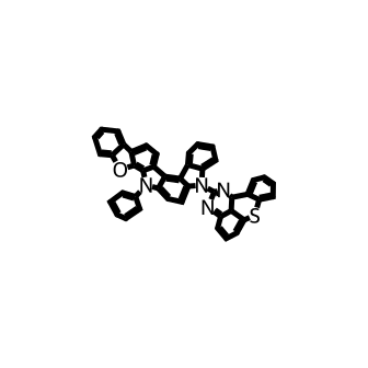 C1=CC2=NC(n3c4ccccc4c4c5c6ccc7c8ccccc8oc7c6n(-c6ccccc6)c5ccc43)=NC3c4ccccc4SC(=C1)C23